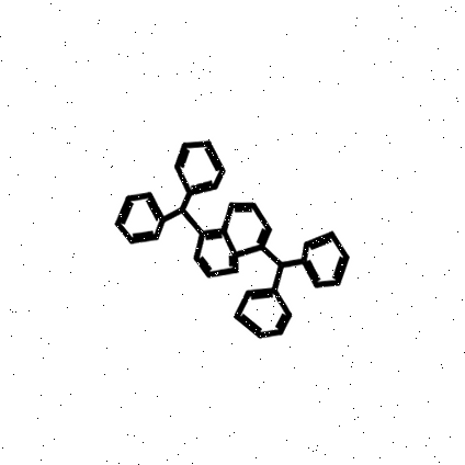 c1ccc(C(c2ccccc2)c2cccc3c(C(c4ccccc4)c4ccccc4)cccc23)cc1